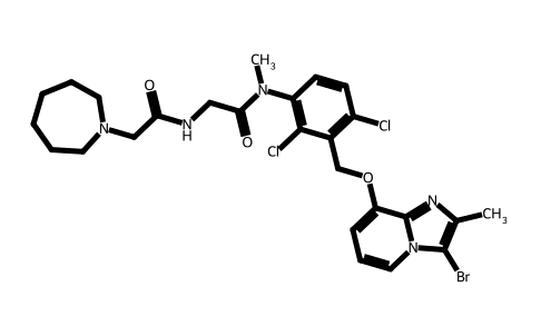 Cc1nc2c(OCc3c(Cl)ccc(N(C)C(=O)CNC(=O)CN4CCCCCC4)c3Cl)cccn2c1Br